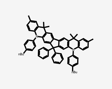 CCCCc1ccc(N2c3ccc(C)cc3C(C)(C)c3cc4c(cc32)C(c2ccccc2)(c2ccccc2)c2cc3c(cc2-4)C(C)(C)c2cc(C)ccc2N3c2ccc(CCCC)cc2)cc1